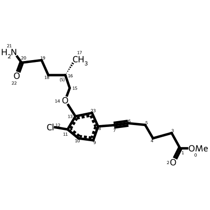 COC(=O)CCCC#Cc1ccc(Cl)c(OC[C@@H](C)CCC(N)=O)c1